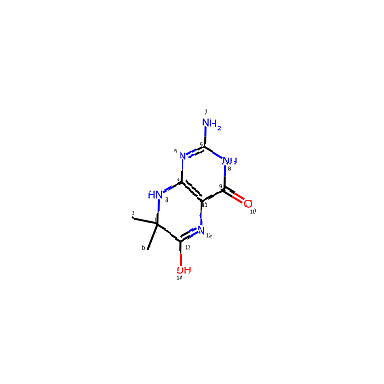 CC1(C)Nc2nc(N)[nH]c(=O)c2N=C1O